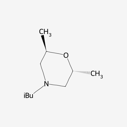 CCC(C)N1C[C@@H](C)O[C@H](C)C1